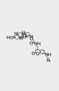 CN(C)CCNc1ccc2c(CCNC(=O)CO/N=C3/CC[C@H]4[C@@H]5CC[C@H]6C[C@H](O)CC[C@]6(C)[C@H]5CC[C@]34C)cc(=O)oc2c1